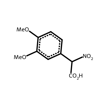 COc1ccc(C(C(=O)O)[N+](=O)[O-])cc1OC